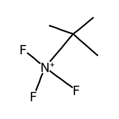 CC(C)(C)[N+](F)(F)F